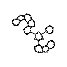 c1ccc(-c2nc(-c3cccc4c3ccc3ccc5oc6ccccc6c5c34)nc(-c3cccc4oc5ccccc5c34)n2)cc1